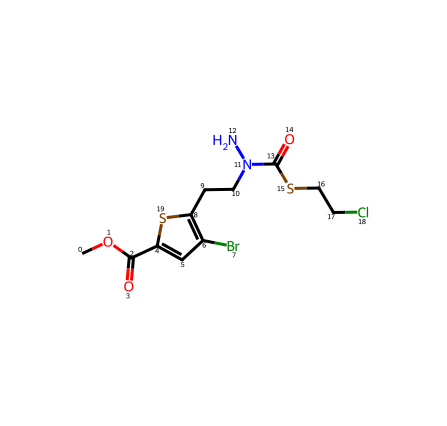 COC(=O)c1cc(Br)c(CCN(N)C(=O)SCCCl)s1